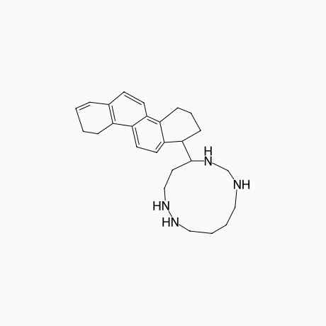 C1=Cc2ccc3c4c(ccc3c2CC1)C(C1CCNNCCCCNCN1)CCC4